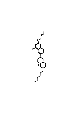 C/C=C/COc1cc(F)c2cc([C@@H]3CC[C@@H]4CC(CCCCCC)CCC4C3)ccc2c1